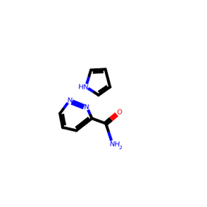 NC(=O)c1cccnn1.c1cc[nH]c1